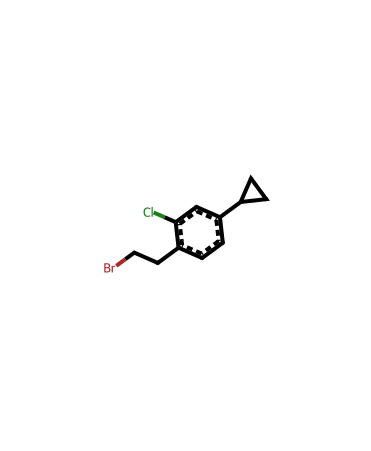 Clc1cc(C2CC2)ccc1CCBr